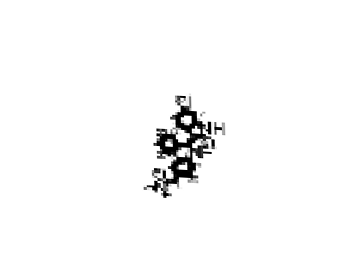 CN(C)C(=O)Cc1ccc(N/C(=C2\C(=O)Nc3cc(Cl)ccc32)c2ccccc2)cc1